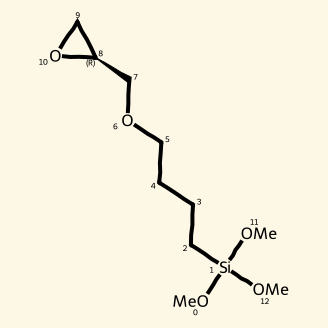 CO[Si](CCCCOC[C@@H]1CO1)(OC)OC